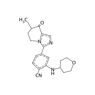 CC1CCn2c(cnc2-c2ccc(C#N)c(NC3CCOCC3)c2)C1=O